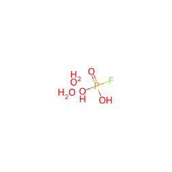 O.O.O=P(O)(O)F